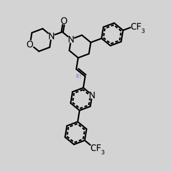 O=C(N1CCOCC1)N1CC(/C=C/c2ccc(-c3cccc(C(F)(F)F)c3)cn2)CC(c2ccc(C(F)(F)F)cc2)C1